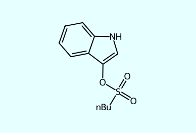 CCCCS(=O)(=O)Oc1c[nH]c2ccccc12